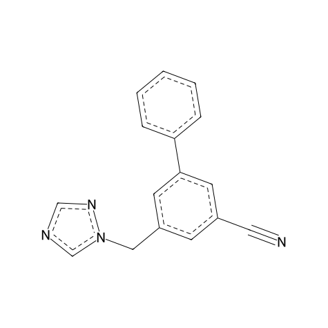 N#Cc1cc(Cn2cncn2)cc(-c2ccccc2)c1